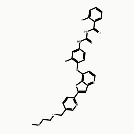 COCCNCc1ccc(-c2cc3nccc(Oc4ccc(NC(=O)NC(=O)c5ccccc5F)cc4F)c3s2)nc1